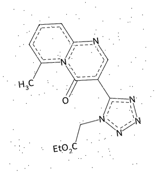 CCOC(=O)Cn1nnnc1-c1cnc2cccc(C)n2c1=O